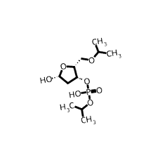 CC(C)OC[C@H]1O[C@@H](O)C[C@H]1OP(=O)(O)OC(C)C